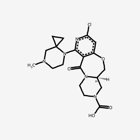 CN1CCN(c2nc(Cl)cc3c2C(=O)N2CCN(C(=O)O)C[C@@H]2CO3)C2(CC2)C1